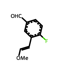 COC=Cc1cc(C=O)ccc1F